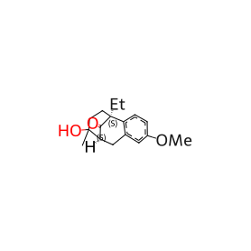 CC[C@]12CCC(C)(O)[C@H](Cc3cc(OC)ccc31)C2=O